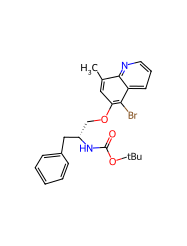 Cc1cc(OC[C@@H](Cc2ccccc2)NC(=O)OC(C)(C)C)c(Br)c2cccnc12